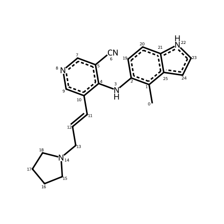 Cc1c(Nc2c(C#N)cncc2C=CCN2CCCC2)ccc2[nH]ccc12